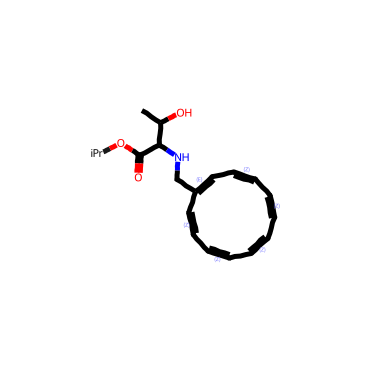 CC(C)OC(=O)C(NCC1=C/C=C\C=C/C=C\C=C/C=C\1)C(C)O